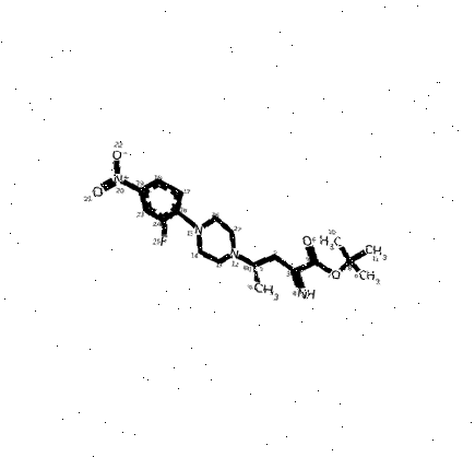 C[C@H](CC(=N)C(=O)OC(C)(C)C)N1CCN(c2ccc([N+](=O)[O-])cc2F)CC1